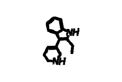 CCc1[nH]c2ccccc2c1C1=CCCNC1